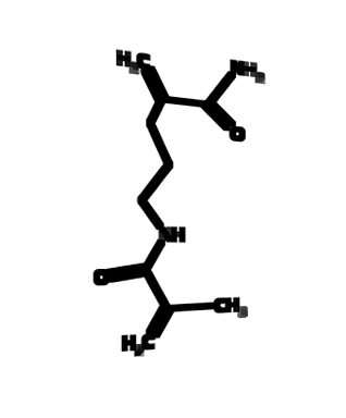 C=C(C)C(=O)NCCCC(=C)C(N)=O